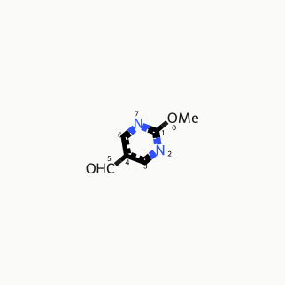 COc1ncc(C=O)cn1